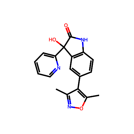 Cc1noc(C)c1-c1ccc2c(c1)C(O)(c1ccccn1)C(=O)N2